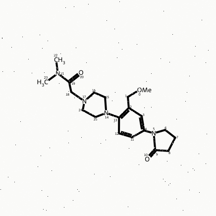 COCc1cc(N2CCCC2=O)ccc1N1CCN(CC(=O)N(C)C)CC1